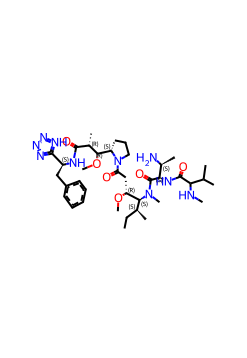 CC[C@H](C)[C@@H]([C@@H](CC(=O)N1CCC[C@H]1[C@H](OC)[C@@H](C)C(=O)N[C@@H](Cc1ccccc1)c1nnn[nH]1)OC)N(C)C(=O)[C@@H](NC(=O)C(NC)C(C)C)[C@H](C)N